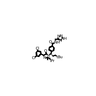 CC(C)CC1(C)N=C(c2cc(Cl)cc(Cl)c2)C(=O)N1[C@H](CCC(C)(C)C)c1ccc(C(=O)NCc2nn[nH]n2)cc1